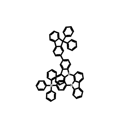 c1ccc(C2(c3ccccc3)c3ccccc3-c3ccc(-c4ccc5c(c4)c4ccccc4n5-c4cccc5c6ccccc6n(-c6ccc([Si](c7ccccc7)(c7ccccc7)c7ccccc7)cc6)c45)cc32)cc1